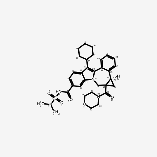 CN(C)S(=O)(=O)NC(=O)c1ccc2c(C3CCCCC3)c3n(c2c1)CC1(C(=O)N2CCOCC2)C[C@@H]1c1ccccc1-3